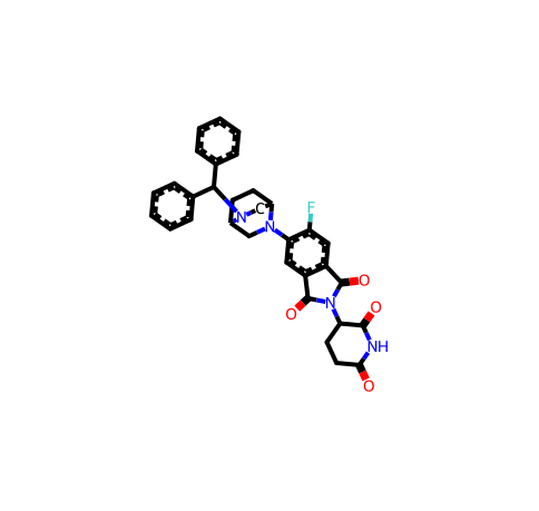 O=C1CCC(N2C(=O)c3cc(F)c(N4CC5CCC4CN5C(c4ccccc4)c4ccccc4)cc3C2=O)C(=O)N1